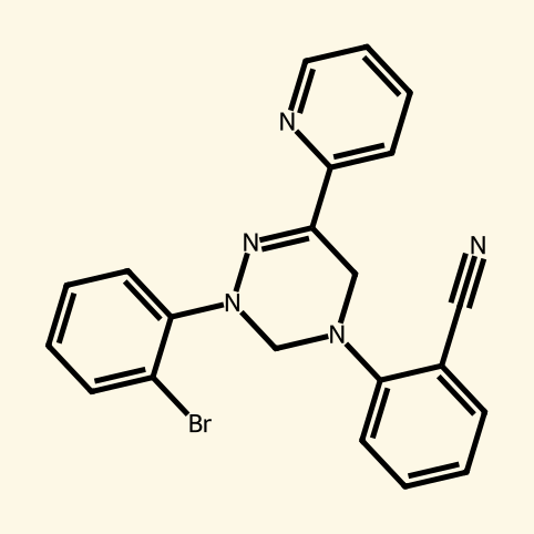 N#Cc1ccccc1N1CC(c2ccccn2)=NN(c2ccccc2Br)C1